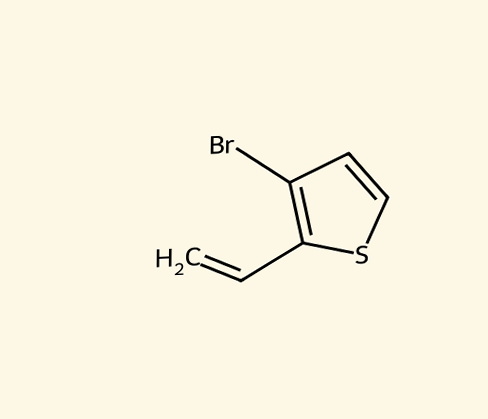 C=Cc1sccc1Br